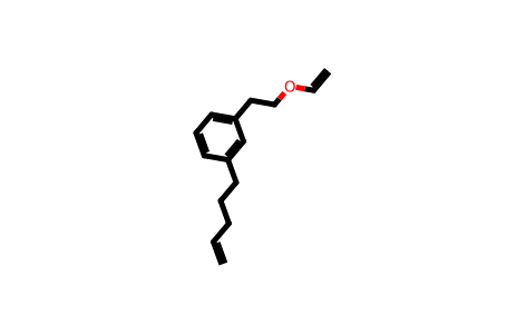 C=CCCCc1cccc(CCOC=C)c1